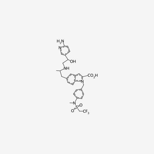 CC(Cc1ccc2c(c1)cc(C(=O)O)n2Cc1ccc(N(C)S(=O)(=O)CC(F)(F)F)cc1)NCC(O)c1ccc(N)nc1